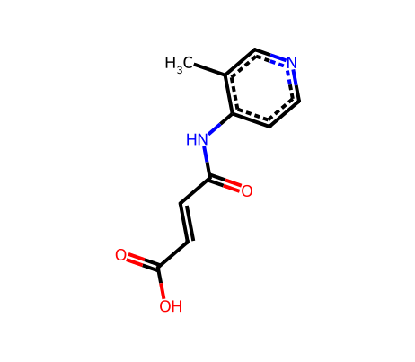 Cc1cnccc1NC(=O)C=CC(=O)O